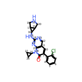 O=c1c(-c2ccccc2Cl)cc2cnc(NC3C4CNCC43)nc2n1C1CC1